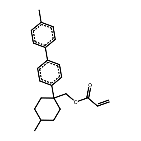 C=CC(=O)OCC1(c2ccc(-c3ccc(C)cc3)cc2)CCC(C)CC1